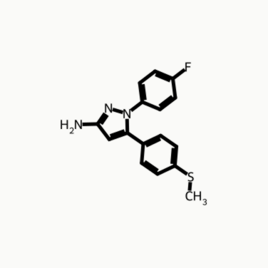 CSc1ccc(-c2cc(N)nn2-c2ccc(F)cc2)cc1